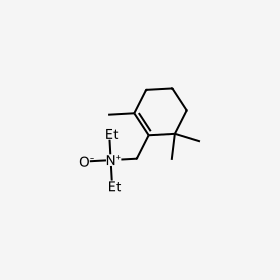 CC[N+]([O-])(CC)CC1=C(C)CCCC1(C)C